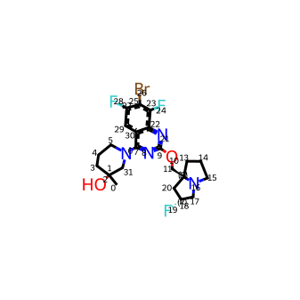 CC1(O)CCCN(c2nc(OC[C@@]34CCCN3C[C@H](F)C4)nc3c(F)c(Br)c(F)cc23)C1